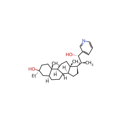 CC[C@]1(O)CC[C@@]2(C)[C@@H](CC[C@@H]3[C@@H]2CC[C@]2(C)[C@@H]([C@H](C)[C@H](O)c4cccnc4)CC[C@@H]32)C1